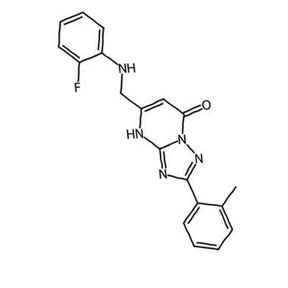 Cc1ccccc1-c1nc2[nH]c(CNc3ccccc3F)cc(=O)n2n1